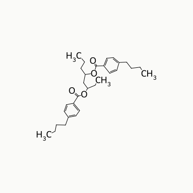 CCCCc1ccc(C(=O)OC(CC)CC(CCC)OC(=O)c2ccc(CCCC)cc2)cc1